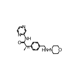 C[C@@H](C(=O)Nc1cnccn1)c1ccc(CNN2CCOCC2)cc1